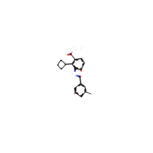 NC(=O)c1ccc2oc(-c3cc(O)cc(C(F)(F)F)c3)nc2c1C1CCC1